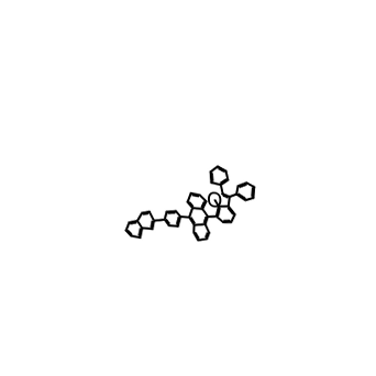 c1ccc(-c2oc3c(-c4c5ccccc5c(-c5ccc(-c6ccc7ccccc7c6)cc5)c5ccccc45)cccc3c2-c2ccccc2)cc1